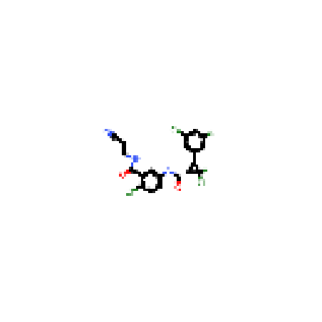 N#CCCNC(=O)c1cc(NC(=O)[C@@H]2[C@@H](c3cc(Cl)cc(Cl)c3)C2(Cl)Cl)ccc1Cl